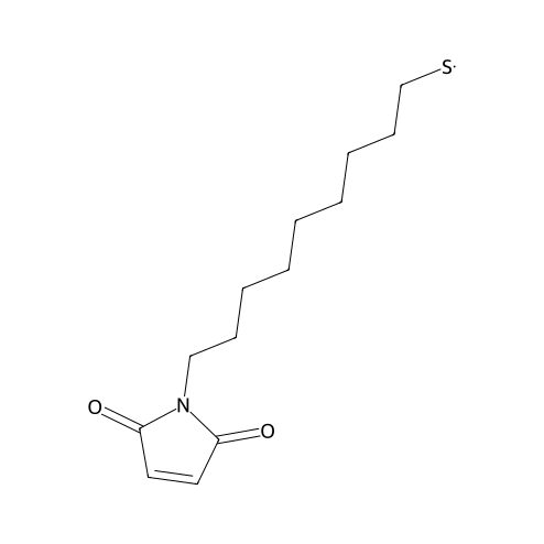 O=C1C=CC(=O)N1CCCCCCCCC[S]